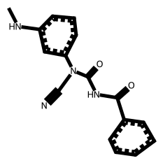 CNc1cccc(N(C#N)C(=O)NC(=O)c2ccccc2)c1